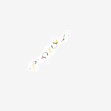 CCS(=O)(=O)C[C@@H](C)COc1ccc(S(=O)(=O)c2ccc(OC[C@@H](C)CCl)c(Cl)c2)cc1Cl